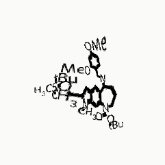 COc1ccc(C/N=C2/CCCN(C(=O)OC(C)(C)C)c3cc4c(cc32)cc(CO[Si](C)(C)C(C)(C)C)n4C)c(OC)c1